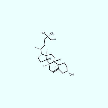 C=C[C@](O)(CC[C@@H](C)[C@H]1CC[C@H]2[C@@H]3CC=C4C[C@@H](O)CC[C@]4(C)[C@H]3CC[C@]12C)C(F)(F)F